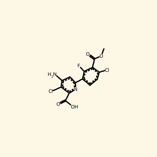 COC(=O)c1c(Cl)ccc(-c2cc(N)c(Cl)c(C(=O)O)n2)c1F